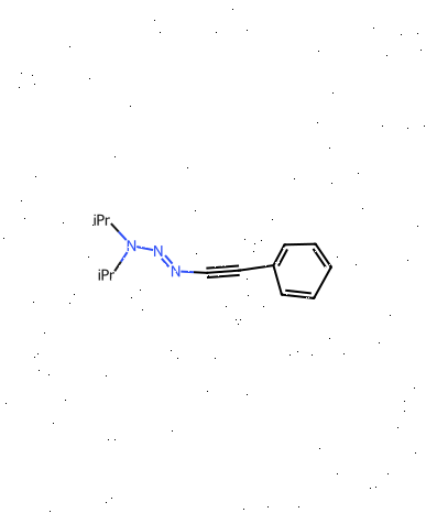 CC(C)N(N=NC#Cc1ccccc1)C(C)C